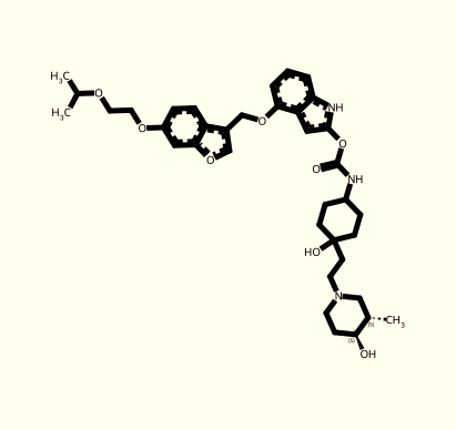 CC(C)OCCOc1ccc2c(COc3cccc4[nH]c(OC(=O)NC5CCC(O)(CCN6CC[C@H](O)[C@@H](C)C6)CC5)cc34)coc2c1